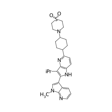 CC(C)c1c(-c2cn(C)c3ncccc23)[nH]c2ccc(C3CCC(N4CCS(=O)(=O)CC4)CC3)nc12